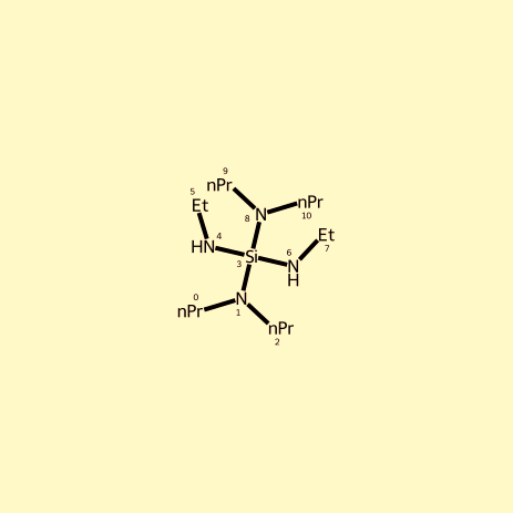 CCCN(CCC)[Si](NCC)(NCC)N(CCC)CCC